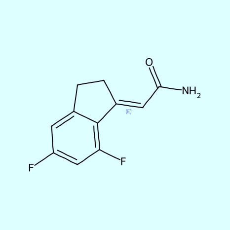 NC(=O)/C=C1\CCc2cc(F)cc(F)c21